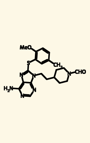 COc1ccc(C)cc1Sc1nc2c(N)ncnc2n1CCC1CCN(C=O)CC1